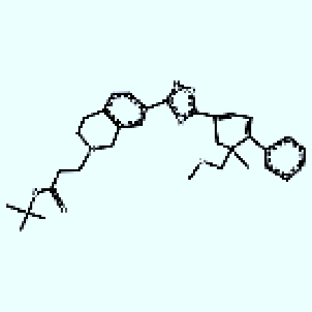 COCC1(C)CC(c2nc(-c3ccc4c(c3)CN(CCC(=O)OC(C)(C)C)CC4)no2)=CC=C1c1ccccc1